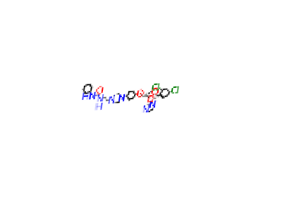 O=C(NCCN1CCN(c2ccc(OC[C@@H]3CO[C@@](Cn4ccnc4)(c4ccc(Cl)cc4Cl)O3)cc2)CC1)Nc1ccccc1